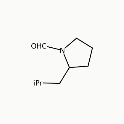 CC(C)CC1CCCN1C=O